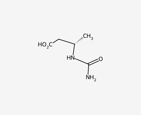 C[C@@H](CC(=O)O)NC(N)=O